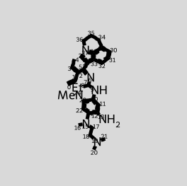 C=CC(=C/C)/C(=N\C(CC)Nc1cc(N)c(N(C)CCN(C)C)cc1NC)c1cn2c3c(cccc13)CCC2